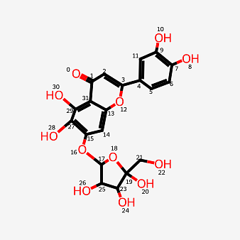 O=c1cc(-c2ccc(O)c(O)c2)oc2cc(OC3OC(O)(CO)C(O)C3O)c(O)c(O)c12